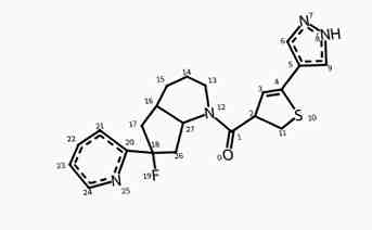 O=C(C1C=C(c2cn[nH]c2)SC1)N1CCCC2CC(F)(c3ccccn3)CC21